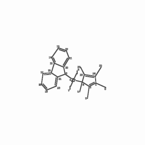 CC1=C(C)[C](C)([Zr]([I])([I])[CH]2c3ccccc3-c3ccccc32)C(C)=C1C